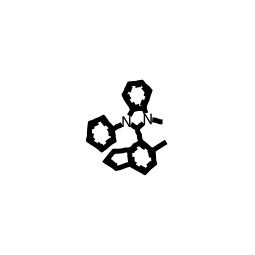 Cc1ccc2c(c1C1N(C)c3ccccc3N1c1ccccc1)CC=C2